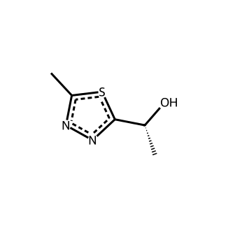 Cc1nnc([C@@H](C)O)s1